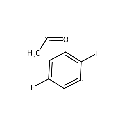 C[C]=O.Fc1[c]cc(F)cc1